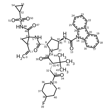 C=CC1CC1(NC(=O)[C@@H]1C[C@@H](NC(=O)n2c3ccccc3c3ccccc32)CN1C(=O)[C@@H](CC(=O)N1CCC(F)CC1)C(C)(C)C)C(=O)NS(=O)(=O)C1CC1